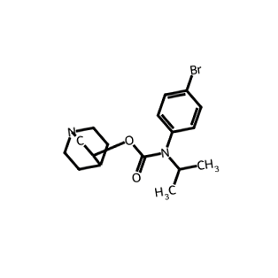 CC(C)N(C(=O)OC1CN2CCC1CC2)c1ccc(Br)cc1